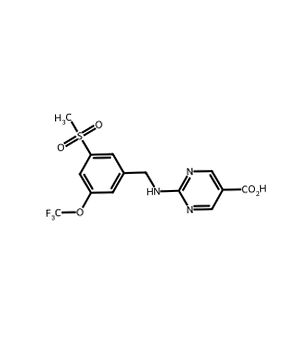 CS(=O)(=O)c1cc(CNc2ncc(C(=O)O)cn2)cc(OC(F)(F)F)c1